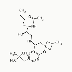 C=CCC[C@H](NC(C)=O)[C@H](O)CN[C@H]1CC2(CC(C)C2)Oc2ncc(CC(C)(C)C)cc21